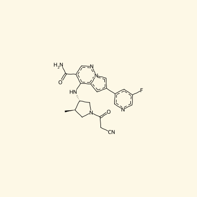 C[C@@H]1CN(C(=O)CC#N)C[C@H]1Nc1c(C(N)=O)cnn2cc(-c3cncc(F)c3)cc12